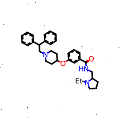 CCN1CCCC1CNC(=O)c1cccc(OC2CCN(CC(c3ccccc3)c3ccccc3)CC2)c1